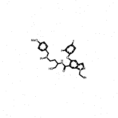 COc1ccc(CN(CCC(CO)NC(=O)c2cc3c(cnn3CC(C)C)cc2Oc2ccc(F)cc2F)C(C)C)cc1